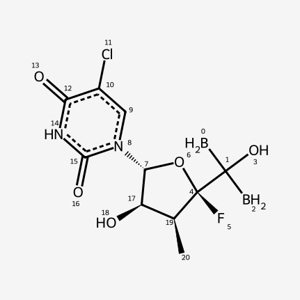 BC(B)(O)[C@@]1(F)O[C@@H](n2cc(Cl)c(=O)[nH]c2=O)[C@H](O)[C@@H]1C